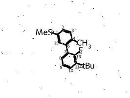 CSc1ccc(C)c(-c2cccc(C(C)(C)C)c2F)c1